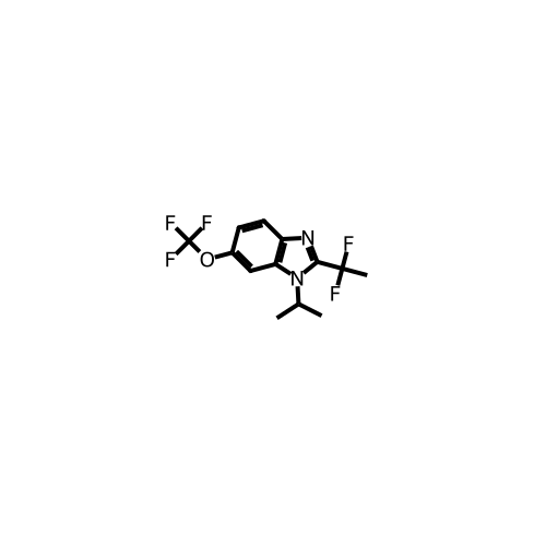 CC(C)n1c(C(C)(F)F)nc2ccc(OC(F)(F)F)cc21